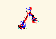 CC[C@@]1(O)C(=O)OCc2c1cc1n(c2=O)Cc2c-1nc1cc(F)c(C)c3c1c2[C@@H](NC(=O)OCc1ccc(NC(=O)[C@H](CCCNC(N)=O)NC(=O)[C@@H](NC(=O)CCOCCOCCOCCOCCC(=O)NCCNc2ncc(-c4cc(C)cc(F)c4)c(N4CCC(N)CC4)c2-c2nc4ccc(Cl)cc4[nH]2)C(C)C)cc1C(=O)NCCN)CC3